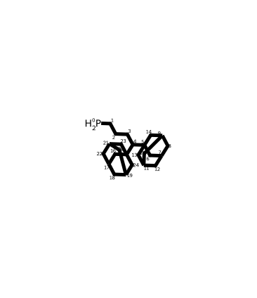 PCCCC(C12CC3CC(CC(C3)C1)C2)C12CC3CC(CC(C3)C1)C2